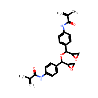 C=C(C)C(=O)Nc1ccc(C(OC(c2ccc(NC(=O)C(=C)C)cc2)C2CO2)C2CO2)cc1